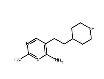 Cc1ncc(CCC2CCNCC2)c(N)n1